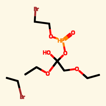 CCBr.CCOCC(O)(OCC)O[PH](=O)OCCBr